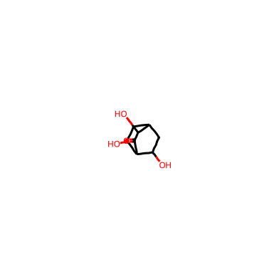 O=C1C(O)C2CC(O)C1C(O)C2